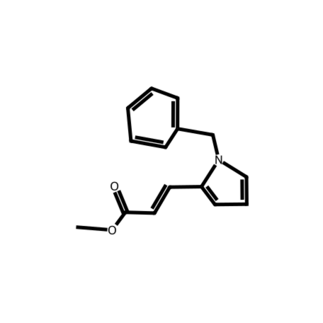 COC(=O)C=Cc1cccn1Cc1ccccc1